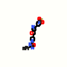 CCCc1noc(N2CCC(C3Cc4cc(C5=CCN(S(C)(=O)=O)CC5)ncc4O3)CC2)n1